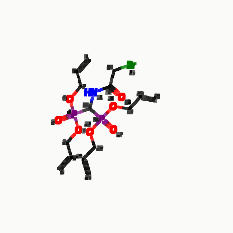 C=CCOP(=O)(OCC=C)C(NC(=O)CBr)P(=O)(OCC=C)OCC=C